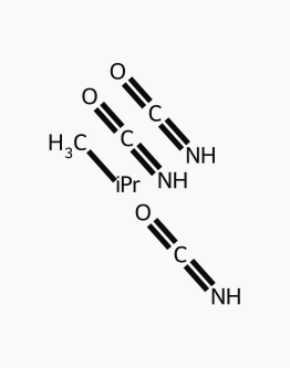 CC(C)C.N=C=O.N=C=O.N=C=O